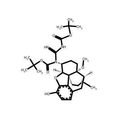 CO[C@@]12CC[C@@H](N(C(=N)NC(=O)OC(C)(C)C)C(=O)OC(C)(C)C)[C@@H]3Oc4c(O)ccc5c4[C@@]31CCN(C)[C@@H]2C5